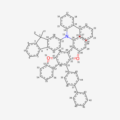 CC1(C)c2ccccc2-c2ccc(N(c3ccccc3-c3ccccc3)c3cccc4oc5c(-c6ccc(-c7ccccc7)cc6)c6c(cc5c34)oc3ccccc36)cc21